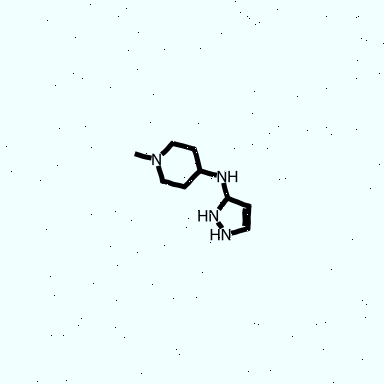 CN1CCC(NC2C=CNN2)CC1